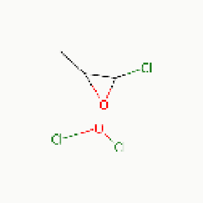 CC1OC1Cl.ClOCl